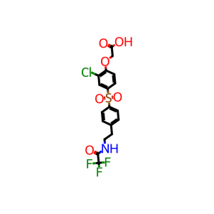 O=C(O)COc1ccc(S(=O)(=O)c2ccc(CCNC(=O)C(F)(F)F)cc2)cc1Cl